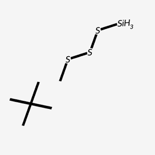 CC(C)(C)C.CSSS[SiH3]